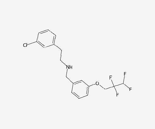 FC(F)C(F)(F)COc1cccc(CNCCc2cccc(Cl)c2)c1